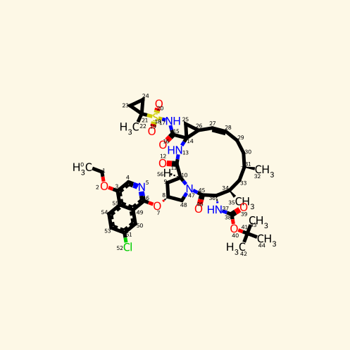 CCOc1cnc(O[C@@H]2C[C@H]3C(=O)NC4(C(=O)NS(=O)(=O)C5(C)CC5)CC4/C=C\CC[C@@H](C)C[C@@H](C)[C@H](NC(=O)OC(C)(C)C)C(=O)N3C2)c2cc(Cl)ccc12